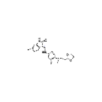 CN(CCC1OCCO1)c1ccc(N/C=C2/C(=O)Nc3cc(F)ccc32)cc1F